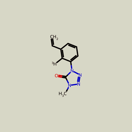 [3H]c1c(C=C)cccc1-n1nnn(C)c1=O